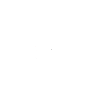 C=C(C)C(=O)OC1CCC(C(C)CC)CC1(C)O